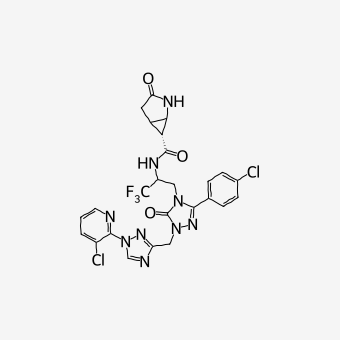 O=C1CC2C(N1)[C@@H]2C(=O)NC(Cn1c(-c2ccc(Cl)cc2)nn(Cc2ncn(-c3ncccc3Cl)n2)c1=O)C(F)(F)F